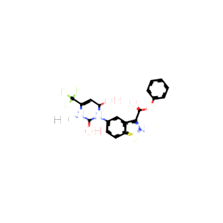 CN1C(C(F)(F)F)=CC(O)N(c2ccc3snc(C(=O)Oc4ccccc4)c3c2)C1O